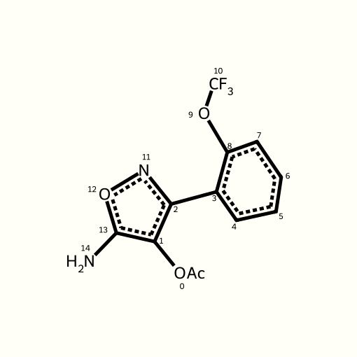 CC(=O)Oc1c(-c2ccccc2OC(F)(F)F)noc1N